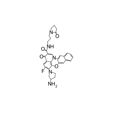 NC1CCN(c2c(F)cc3c(=O)c(C(=O)NCCCN4CCCC4=O)cn4c3c2Oc2cc3ccccc3cc2-4)C1